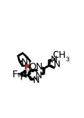 Cn1cc(-c2cn3ncc(F)c(N4CC5CCC(C4)N5C(=O)[C@@H]4C[C@H]4F)c3n2)cn1